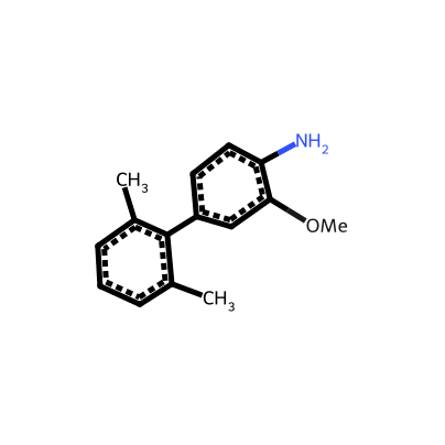 COc1cc(-c2c(C)cccc2C)ccc1N